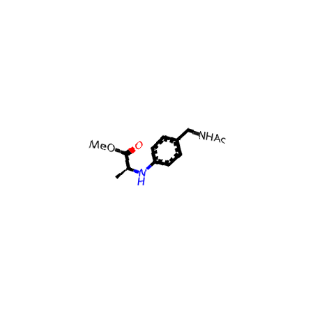 COC(=O)[C@H](C)Nc1ccc(CNC(C)=O)cc1